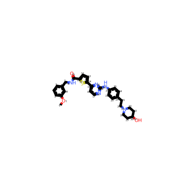 COc1cccc(CNC(=O)c2ccc(-c3ccnc(Nc4ccc(CCN5CCC(O)CC5)cc4)n3)s2)c1